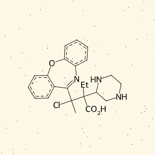 CCC(C(=O)O)(C1CNCCN1)C(C)(Cl)C1=Nc2ccccc2Oc2ccccc21